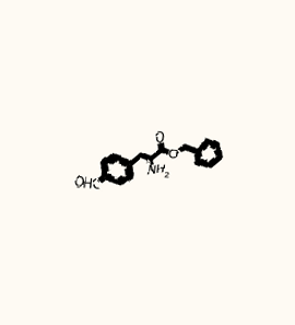 N[C@@H](Cc1ccc(C=O)cc1)C(=O)OCc1ccccc1